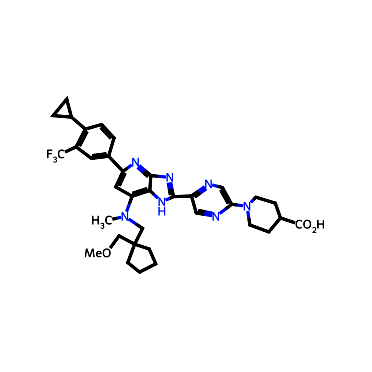 COCC1(CN(C)c2cc(-c3ccc(C4CC4)c(C(F)(F)F)c3)nc3nc(-c4cnc(N5CCC(C(=O)O)CC5)cn4)[nH]c23)CCCC1